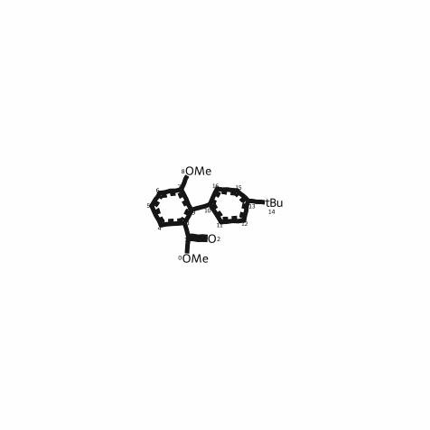 COC(=O)c1cccc(OC)c1-c1ccc(C(C)(C)C)cc1